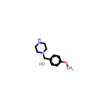 COc1ccc(CN2CCNCC2)cc1.Cl